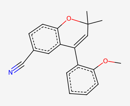 COc1ccccc1C1=CC(C)(C)Oc2ccc(C#N)cc21